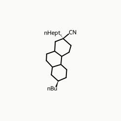 CCCCCCC[C@]1(C#N)CCC2C(CCC3C[C@H](CCCC)CCC32)C1